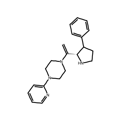 C=C([C@H]1NCCC1c1ccccc1)N1CCN(c2ccccn2)CC1